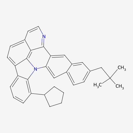 CC(C)(C)Cc1ccc2cc3c(cc2c1)c1nccc2ccc4c5cccc(C6CCCC6)c5n3c4c21